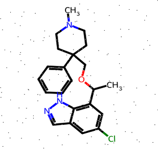 CC(OCC1(c2ccccc2)CCN(C)CC1)c1cc(Cl)cc2cn[nH]c12